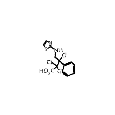 O=C(O)C(Cl)(Cl)C(Cl)(CNc1nccs1)c1ccccc1